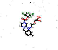 Cc1ccc(CN2CCN(C(=O)OC(C(F)(F)F)C(F)(F)F)CC2)c(NCCOCC(=O)O)c1